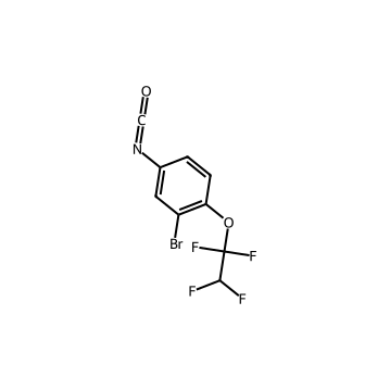 O=C=Nc1ccc(OC(F)(F)C(F)F)c(Br)c1